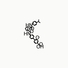 COc1cc(C(=O)O)ccc1-c1ccc(NC(=O)[C@H]2CCCN2C(=O)Nc2ccc(C(C)C)cc2)cc1